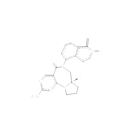 CCn1ccc2c(N3C[C@@H]4CCCN4c4nc(NC)ncc4C3=O)cccc2c1=O